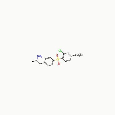 CCOC(=O)c1ccc(S(=O)(=O)c2ccc(C[C@@H](C)N)cc2)c(Cl)c1